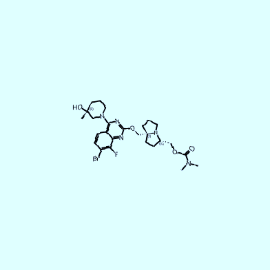 CN(C)C(=O)OC[C@@H]1CC[C@@]2(COc3nc(N4CCC[C@@](C)(O)C4)c4ccc(Br)c(F)c4n3)CCCN12